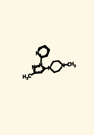 Cc1cc(N2CCN(C)CC2)n(-c2ccccn2)n1